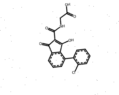 O=C(O)CNC(=O)C1=C(O)c2c(cccc2-c2ccccc2Cl)C1=O